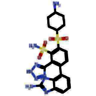 Nc1nc2cccc(-c3ccc(S(=O)(=O)[C@H]4CC[C@@H](N)CC4)c(S(N)(=O)=O)c3-c3nn[nH]n3)c2[nH]1